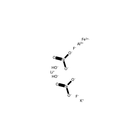 O=[Si]([O-])[O-].O=[Si]([O-])[O-].[Al+3].[F-].[F-].[Fe+3].[K+].[Li+].[OH-].[OH-]